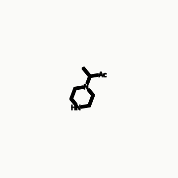 CC(=O)C(C)N1CCNCC1